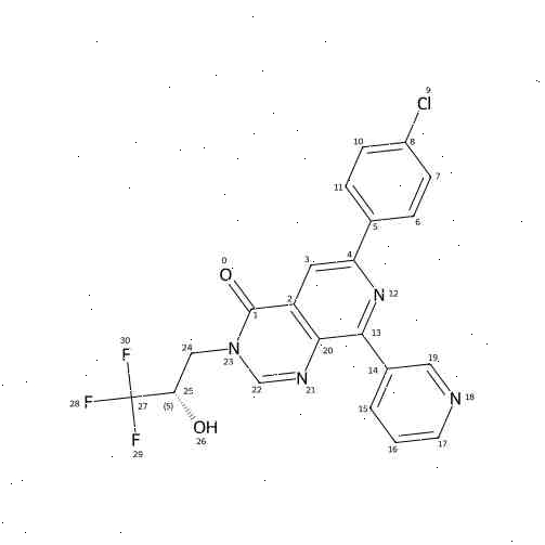 O=c1c2cc(-c3ccc(Cl)cc3)nc(-c3cccnc3)c2ncn1C[C@H](O)C(F)(F)F